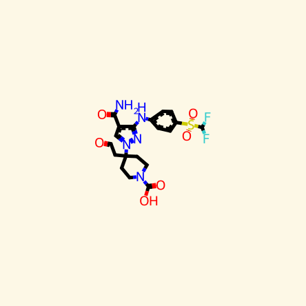 NC(=O)c1cn(C2(CC=O)CCN(C(=O)O)CC2)nc1Nc1ccc(S(=O)(=O)C(F)F)cc1